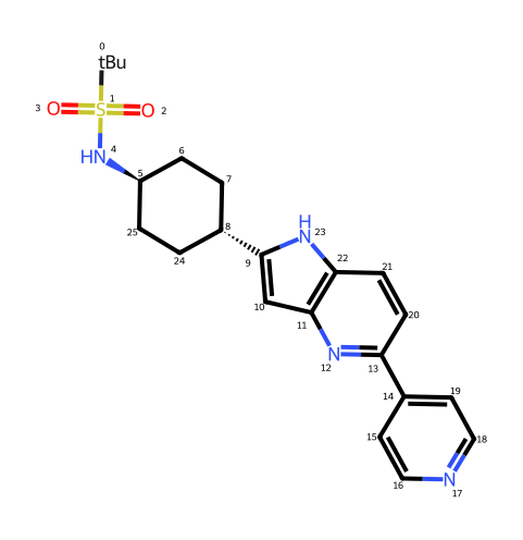 CC(C)(C)S(=O)(=O)N[C@H]1CC[C@H](c2cc3nc(-c4ccncc4)ccc3[nH]2)CC1